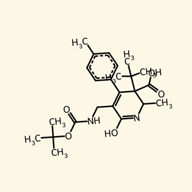 Cc1ccc(C2=C(CNC(=O)OC(C)(C)C)C(O)=NC(C)C2(C(=O)O)C(C)(C)C)cc1